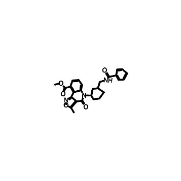 COC(=O)c1cccc2c1c1noc(C)c1c(=O)n2C1CCCC(CNC(=O)c2ccccc2)C1